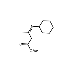 COC(=O)C/C(C)=N\C1CCCCC1